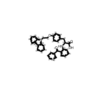 O=C(c1cccnc1)c1ccccc1NC(Cc1ccc(OCCn2c3ccccc3c3ccccc32)cc1)C(=O)O